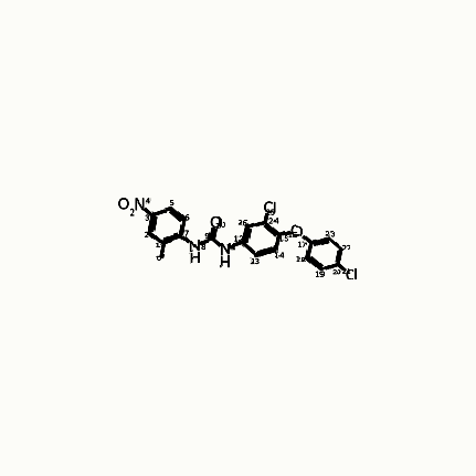 Cc1cc([N+](=O)[O-])ccc1NC(=O)Nc1ccc(Oc2ccc(Cl)cc2)c(Cl)c1